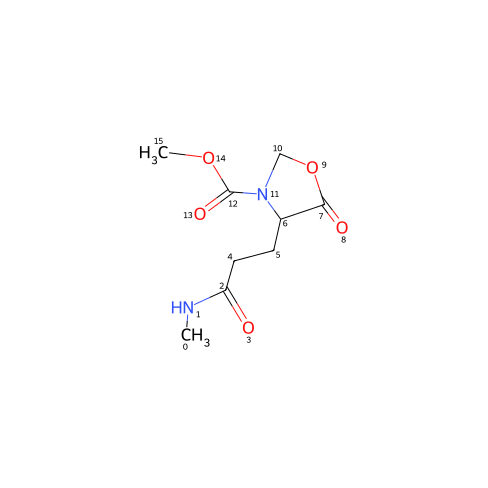 CNC(=O)CCC1C(=O)OCN1C(=O)OC